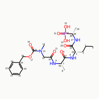 CCC[C@H](NC(=O)[C@H](C)NC(=O)CN(C)C(=O)OCc1ccccc1)C(=O)N[C@@H](C)P(=O)(O)O